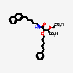 O=C(O)COC(C(=O)O)C(OCCCCCc1ccccc1)C(=O)NCCCCCc1ccc2ccccc2c1